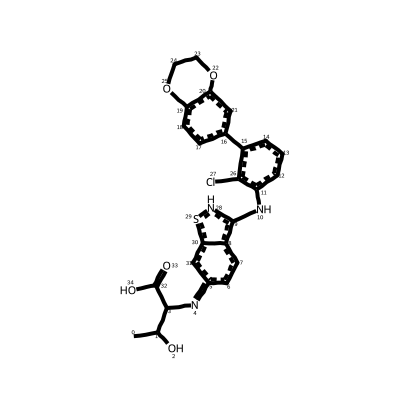 CC(O)C(N=c1ccc2c(Nc3cccc(-c4ccc5c(c4)OCCO5)c3Cl)[nH]sc-2c1)C(=O)O